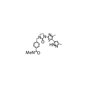 CNC(=O)c1ccc(CN2CCN(c3nc(C)c(-c4cc(C)n[nH]4)s3)C2=O)cc1